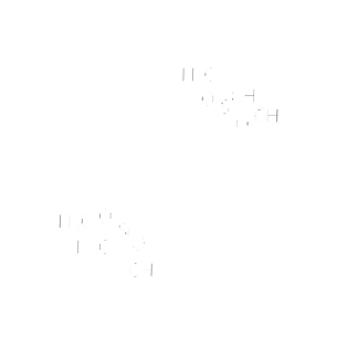 CO[Si](C)(OC)c1ccc(-c2ccc([Si](C)(OC)OC)cc2)cc1